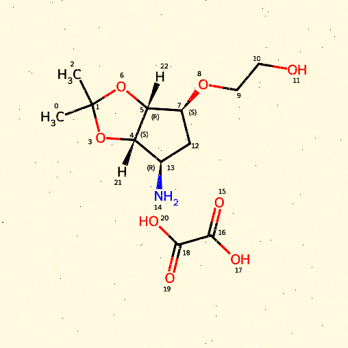 CC1(C)O[C@@H]2[C@H](O1)[C@@H](OCCO)C[C@H]2N.O=C(O)C(=O)O